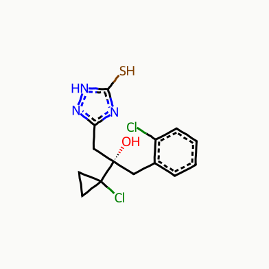 O[C@](Cc1n[nH]c(S)n1)(Cc1ccccc1Cl)C1(Cl)CC1